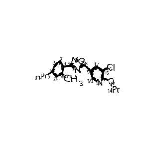 CCCc1ccc(-c2noc(-c3cnc(OC(C)C)c(Cl)c3)n2)c(C)c1